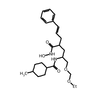 CCOCOCC(CC(CC=Cc1ccccc1)C(=O)NO)NC(=O)C1CCC(C)CC1